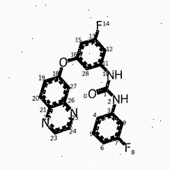 O=C(Nc1cccc(F)c1)Nc1cc(F)cc(Oc2ccc3nccnc3c2)c1